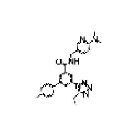 CCc1nnnn1-c1cc(C(=O)NCc2ccc(N(C)C)nc2)cc(-c2ccc(C)cc2)c1